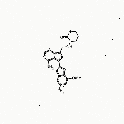 COc1cc(C)cc2cc(-c3cc(CNC4CCCNC4=O)n4ncnc(N)c34)sc12